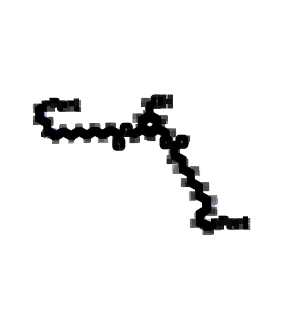 CCCCC/C=C\C/C=C\CCCCCCCC(=O)OCc1cc(CO)cc(COC(=O)CCCCCCC/C=C\C/C=C\CCCCC)c1